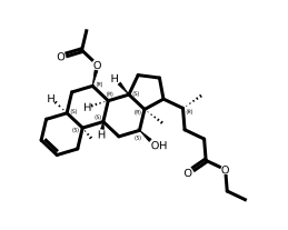 CCOC(=O)CC[C@@H](C)C1CC[C@H]2[C@@H]3[C@H](OC(C)=O)C[C@@H]4CC=CC[C@]4(C)[C@H]3C[C@H](O)[C@]12C